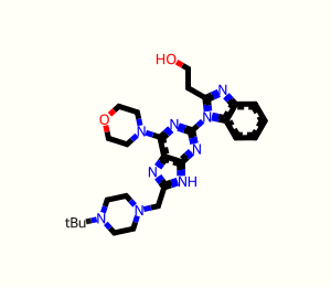 CC(C)(C)N1CCN(Cc2nc3c(N4CCOCC4)nc(-n4c(CCO)nc5ccccc54)nc3[nH]2)CC1